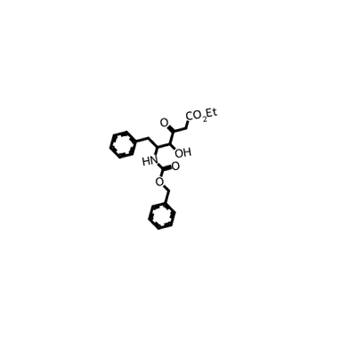 CCOC(=O)CC(=O)C(O)C(Cc1ccccc1)NC(=O)OCc1ccccc1